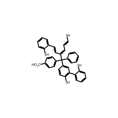 O=C(O)c1ccc(C(C(/C=C/c2ccccc2S)=C/C=C/S)(c2ccccc2)c2ccc(S)c(-c3ccccc3S)c2)cc1